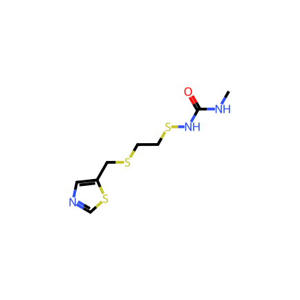 CNC(=O)NSCCSCc1cncs1